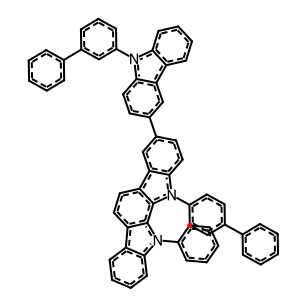 c1ccc(-c2ccc(-n3c4ccc(-c5ccc6c(c5)c5ccccc5n6-c5cccc(-c6ccccc6)c5)cc4c4ccc5c6ccccc6n(-c6ccccc6)c5c43)cc2)cc1